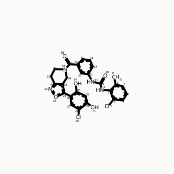 Cc1cccc(Cl)c1NC(=O)Nc1cccc(C(=O)N2CCc3noc(-c4cc(Cl)c(O)cc4O)c3C2)c1